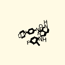 Cc1cc(F)ccc1Nc1cc2cc[nH]c(=O)c2c(Nc2ccc(N3CCOCC3)cc2)n1